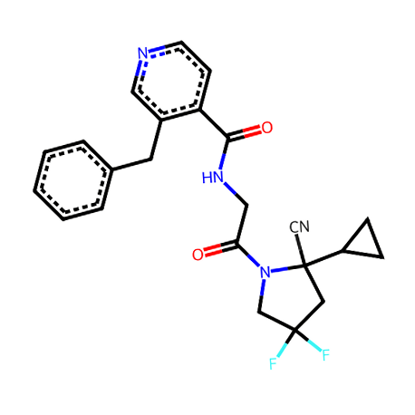 N#CC1(C2CC2)CC(F)(F)CN1C(=O)CNC(=O)c1ccncc1Cc1ccccc1